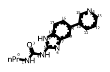 CCCNC(=O)Nc1nc2cc(-c3cccnc3)ccc2[nH]1